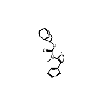 CN(C(=O)OC1CN2CCCC1C2)c1ncsc1-c1ccccc1